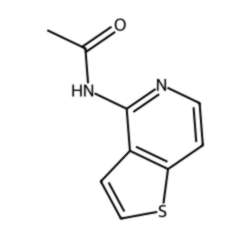 CC(=O)Nc1nccc2sccc12